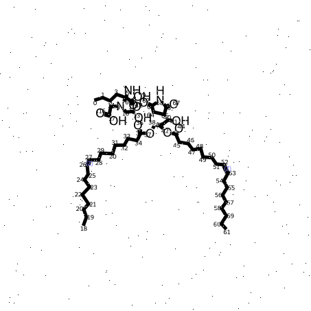 CCCCC(N)(C(=O)O)N(CC(=O)O)CC(=O)O.CCCCCCCC/C=C\CCCCCCCC(=O)OC[C@H](CO)OC(=O)CCCCCCC/C=C\CCCCCCCC.O=C1CCC(=O)N1